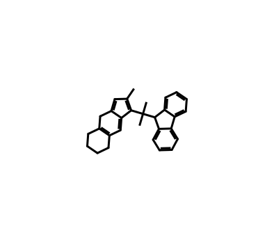 CC1=C(C(C)(C)C2c3ccccc3-c3ccccc32)C2=CC3=C(CCCC3)CC2=C1